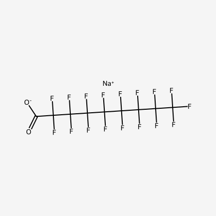 O=C([O-])C(F)(F)C(F)(F)C(F)(F)C(F)(F)C(F)(F)C(F)(F)C(F)(F)C(F)(F)F.[Na+]